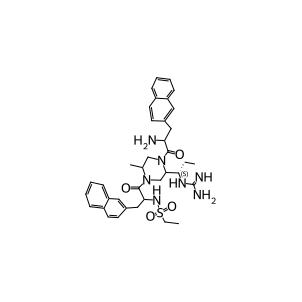 CC[C@H](NC(=N)N)C1CN(C(=O)C(Cc2ccc3ccccc3c2)NS(=O)(=O)CC)C(C)CN1C(=O)C(N)Cc1ccc2ccccc2c1